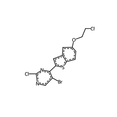 ClCCOc1ccc2sc(-c3nc(Cl)ncc3Br)cc2c1